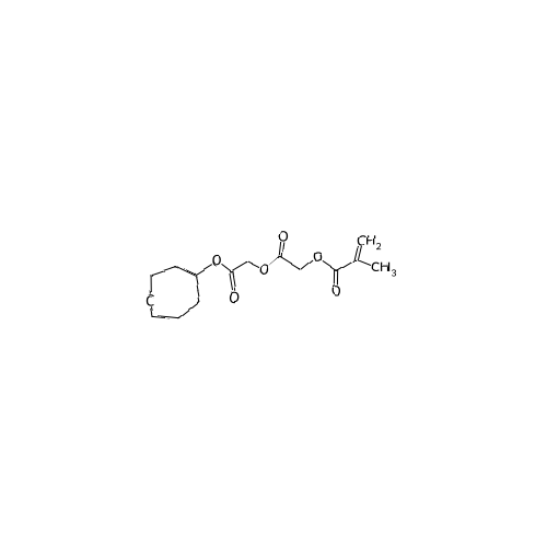 C=C(C)C(=O)OCC(=O)OCC(=O)OC1CCCCCC1